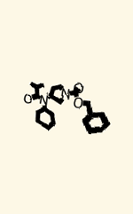 CC(C)C(=O)N(C1CCCCC1)[C@H]1CCN(C(=O)OCc2ccccc2)C1